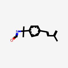 C=C(C)C=Cc1ccc(C(C)(C)N=C=O)cc1